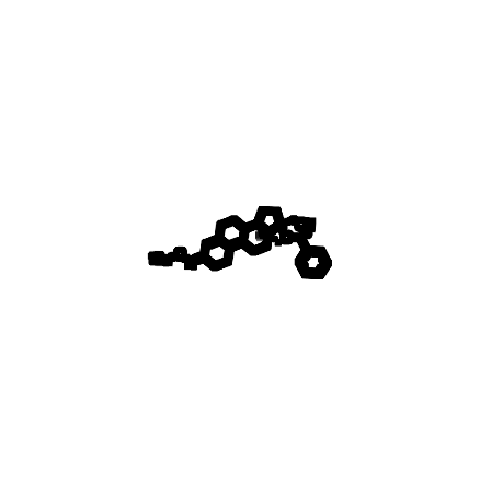 CC(C)(C)ON=C1C=C2CCC3C(=C2CC1)CC[C@@]1(C)C3CC[C@]1(CC#N)OC(=O)c1ccccc1